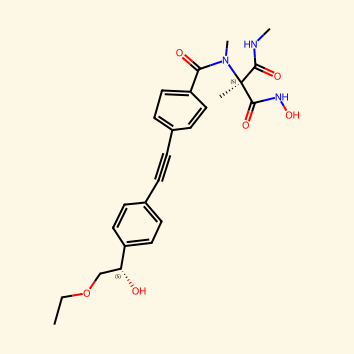 CCOC[C@@H](O)c1ccc(C#Cc2ccc(C(=O)N(C)[C@@](C)(C(=O)NC)C(=O)NO)cc2)cc1